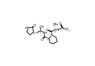 CC(C)(C)[C@H](NC(=O)C(F)(F)F)C(=O)N1CCCC[C@H]1C(=O)N[C@H](C#N)C[C@@H]1CCNC1=O